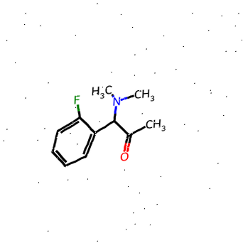 CC(=O)C(c1ccccc1F)N(C)C